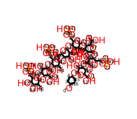 COc1ccc(OC2OC(C(=O)O)C(OC3OC(COS(=O)(=O)O)C(OC4OC(C(=O)O)C(OC5OC(COS(=O)(=O)O)C(OC6OC(C(=O)O)C(OC7OC(COS(=O)(=O)O)C(OC8OC(C(=O)O)C(OC9OC(COS(=O)(=O)O)C(O)C(O)C9C)C(O)C8O)C(O)C7C)C(O)C6O)C(O)C5C)C(O)C4O)C(O)C3C)C(O)C2O)cc1